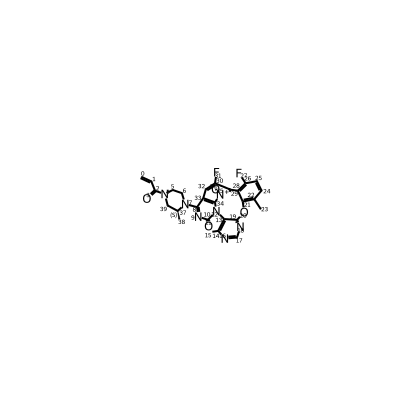 C=CC(=O)N1CCN(c2nc(=O)n3c4c(C)ncnc4oc4c(C)ccc(F)c4c4c(F)cc2c3[n+]4[O-])[C@@H](C)C1